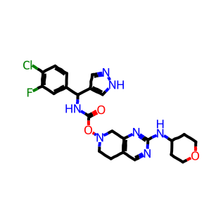 O=C(NC(c1cn[nH]c1)c1ccc(Cl)c(F)c1)ON1CCc2cnc(NC3CCOCC3)nc2C1